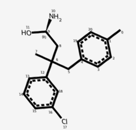 Cc1ccc(CC(C)(C[C@H](N)O)c2cccc(Cl)c2)cc1